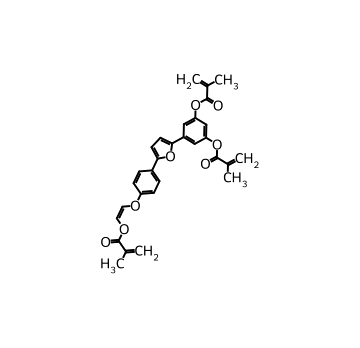 C=C(C)C(=O)O/C=C\Oc1ccc(-c2ccc(-c3cc(OC(=O)C(=C)C)cc(OC(=O)C(=C)C)c3)o2)cc1